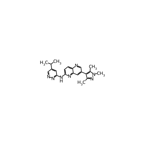 Cc1nn(C)c(C)c1-c1cnc2ccc(Nc3cc(C(C)C)cnn3)nc2c1